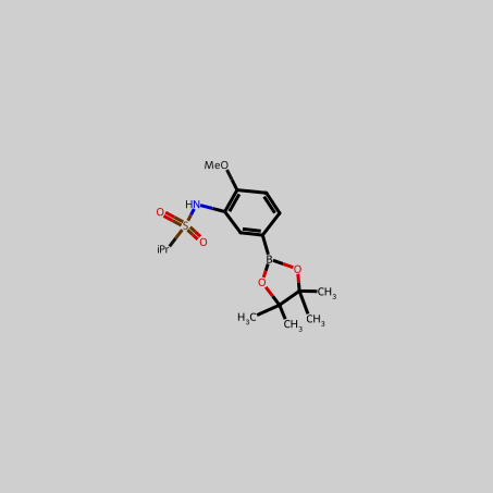 COc1ccc(B2OC(C)(C)C(C)(C)O2)cc1NS(=O)(=O)C(C)C